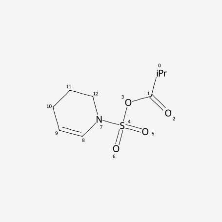 CC(C)C(=O)OS(=O)(=O)N1C=CCCC1